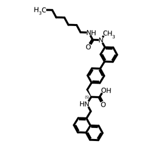 CCCCCCCNC(=O)N(C)c1cccc(-c2ccc(C[C@H](NCc3cccc4ccccc34)C(=O)O)cc2)c1